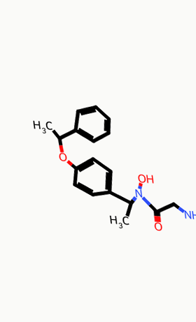 CC(Oc1ccc(C(C)N(O)C(=O)CN)cc1)c1ccccc1